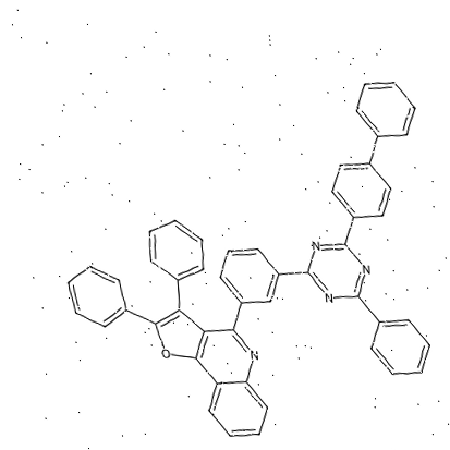 c1ccc(-c2ccc(-c3nc(-c4ccccc4)nc(-c4cccc(-c5nc6ccccc6c6oc(-c7ccccc7)c(-c7ccccc7)c56)c4)n3)cc2)cc1